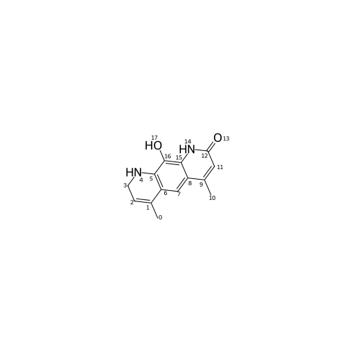 CC1=CCNc2c1cc1c(C)cc(=O)[nH]c1c2O